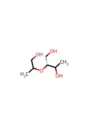 CC(CO)O[C@H](CO)C(C)O